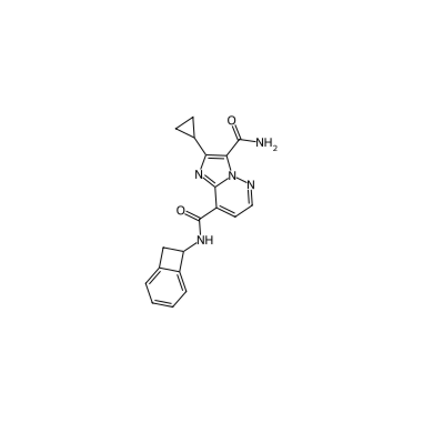 NC(=O)c1c(C2CC2)nc2c(C(=O)NC3Cc4ccccc43)ccnn12